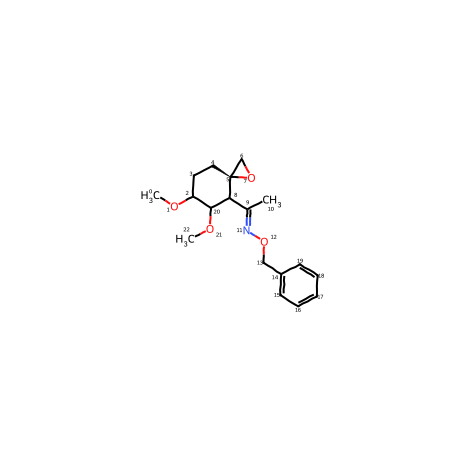 COC1CC[C@]2(CO2)C(/C(C)=N/OCc2ccccc2)C1OC